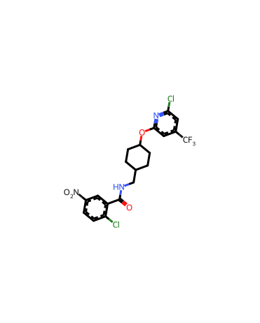 O=C(NCC1CCC(Oc2cc(C(F)(F)F)cc(Cl)n2)CC1)c1cc([N+](=O)[O-])ccc1Cl